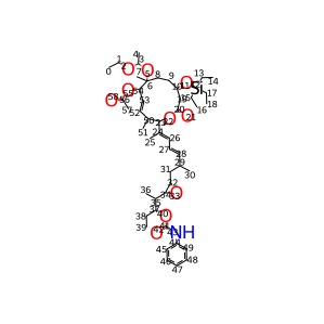 CCOC(C)OC1(C)CCC(O[Si](CC)(CC)CC)CC(=O)OC(/C(C)=C/C=C/C(C)CC2OC2C(C)C(CC)OC(=O)Nc2ccccc2)C(C)/C=C/C1OC(C)=O